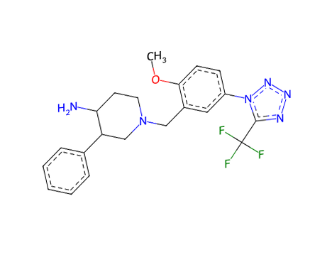 COc1ccc(-n2nnnc2C(F)(F)F)cc1CN1CCC(N)C(c2ccccc2)C1